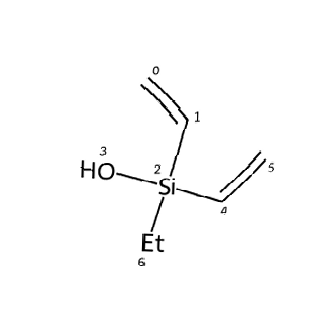 C=C[Si](O)(C=C)CC